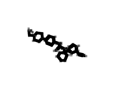 CCN1CCN(c2ccc(NC(=O)NC3(c4ccnc(C#N)n4)CCCCC3)cc2)CC1